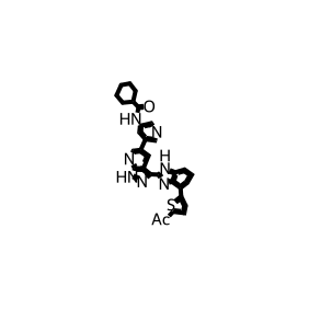 CC(=O)c1ccc(-c2cccc3[nH]c(-c4n[nH]c5ncc(-c6cncc(NC(=O)C7CCCCC7)c6)cc45)nc23)s1